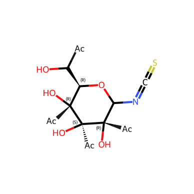 CC(=O)C(O)[C@H]1OC(N=C=S)[C@@](O)(C(C)=O)[C@](O)(C(C)=O)[C@@]1(O)C(C)=O